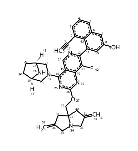 C#Cc1cccc2cc(O)cc(-c3ncc4c(N5C[C@H]6CC[C@@H](C5)N6)nc(OCC56CC(=C)CN5CC(=C)C6)nc4c3F)c12